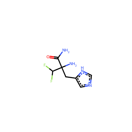 NC(=O)C(N)(Cc1cnc[nH]1)C(F)F